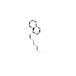 CCCCC/C=C\c1cccc2ccccc12